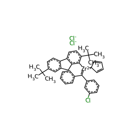 CC(C)(C)c1ccc2c(c1)Cc1c-2ccc(C(C)(C)C)[c]1[Zr+2](=[C](c1ccccc1)c1cccc(Cl)c1)[CH]1C=CC=C1.[Cl-].[Cl-]